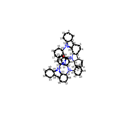 C1=CC2c3ccc4c5ccccc5n(-c5ccccc5)c4c3N(c3cccc(-n4c5ccccc5c5cccc(N(c6ccccc6)c6ccccc6)c54)n3)C2C=C1